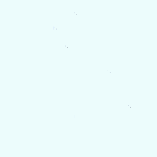 Nc1cc(OC(F)(F)F)ccc1C(=O)N1CCC(c2ccnc3[nH]c(C4CCCCO4)nc23)CC1